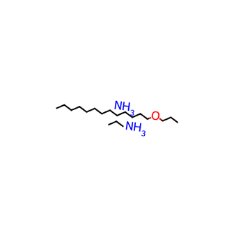 CCC.CCCCCCCCCCCCCOCCC.N.N